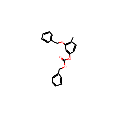 [CH2]c1ccc(OC(=O)OCc2ccccc2)cc1OCc1ccccc1